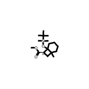 COC(=O)[C@@H]1CC2(C)CCCCC12O[Si](C)(C)C(C)(C)C